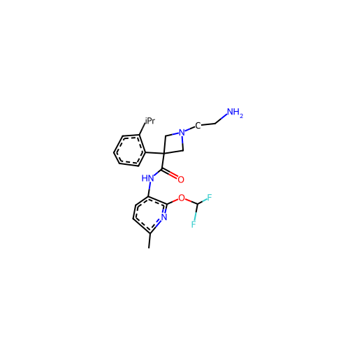 Cc1ccc(NC(=O)C2(c3ccccc3C(C)C)CN(CCN)C2)c(OC(F)F)n1